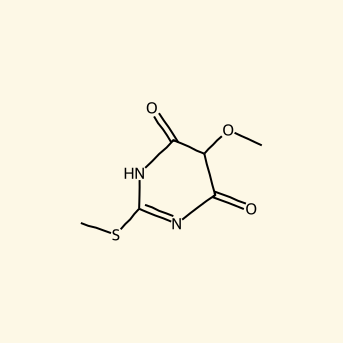 COC1C(=O)N=C(SC)NC1=O